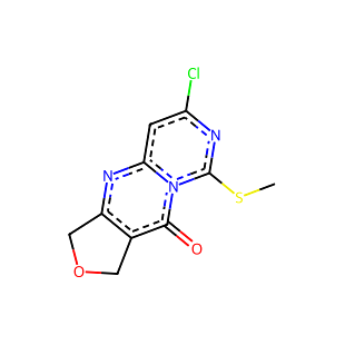 CSc1nc(Cl)cc2nc3c(c(=O)n12)COC3